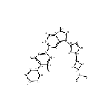 Cc1cc(-c2cc3c(-c4cnn(C5CC(N(C)C)C5)c4)c[nH]c3nn2)nc(C)c1C1CCOCC1